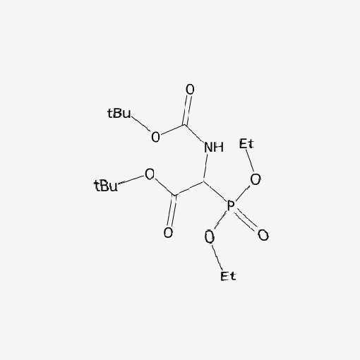 CCOP(=O)(OCC)C(NC(=O)OC(C)(C)C)C(=O)OC(C)(C)C